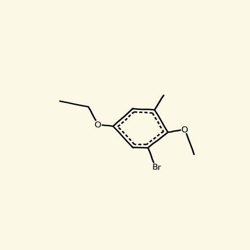 CCOc1cc(C)c(OC)c(Br)c1